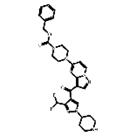 O=C(c1cn(C2CCNCC2)nc1C(F)F)c1cnn2ccc(N3CCN(C(=O)OCc4ccccc4)CC3)nc12